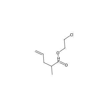 C=CCC(C)[PH](=O)OCCCl